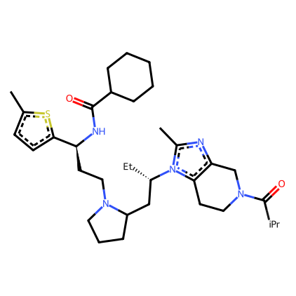 CC[C@@H](CC1CCCN1CC[C@H](NC(=O)C1CCCCC1)c1ccc(C)s1)n1c(C)nc2c1CCN(C(=O)C(C)C)C2